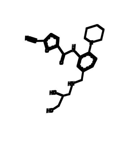 N#Cc1ccc(C(=O)Nc2cc(CNCC(O)CO)ccc2N2CCCCC2)o1